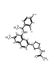 CC(=O)N[C@@H]1CCN(c2cc3c(NC(C)c4ccc(F)cc4F)nc(C)nc3cn2)C1